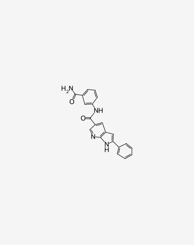 NC(=O)c1cccc(NC(=O)c2cnc3[nH]c(-c4ccccc4)cc3c2)c1